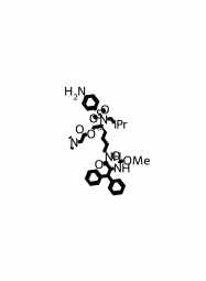 COC(=O)NC(C(=O)NCCCC[C@@H](COC(=O)CN(C)C)N(CC(C)C)S(=O)(=O)c1ccc(N)cc1)C(c1ccccc1)c1ccccc1